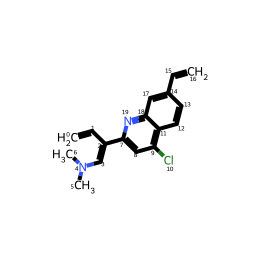 C=C/C(=C\N(C)C)c1cc(Cl)c2ccc(C=C)cc2n1